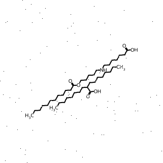 CCCCCCCCC(CCCCCCCC)C(=O)O.CCCCCCCCCCCC(=O)OCCCCCNCCCCCCC(=O)O